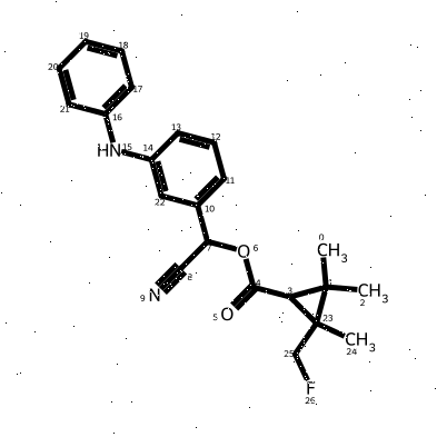 CC1(C)C(C(=O)OC(C#N)c2cccc(Nc3ccccc3)c2)C1(C)CF